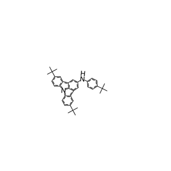 CC(C)(C)c1ccc(Nc2cc3c4cc(C(C)(C)C)ccc4n4c5ccc(C(C)(C)C)cc5c(c2)c34)cc1